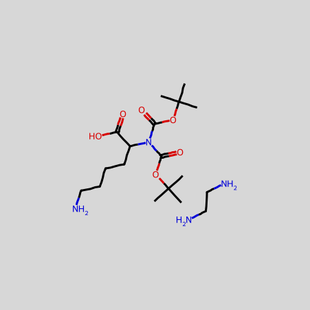 CC(C)(C)OC(=O)N(C(=O)OC(C)(C)C)C(CCCCN)C(=O)O.NCCN